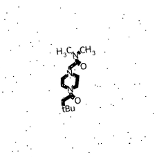 CN(C)C(=O)CN1CCN(C(=O)CC(C)(C)C)CC1